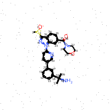 C[S+]([O-])c1nn(-c2ccc(-c3cccc(C(C)(C)N)c3)cn2)c2cc(C(=O)N3CCOCC3)ccc12